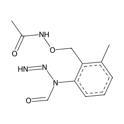 CC(=O)NOCc1c(C)cccc1N(C=O)N=N